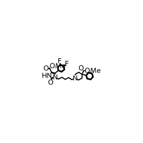 COC(=O)c1[nH]c(=O)n(CCCCCN2CCC(C(=O)OC)(c3ccccc3)CC2)c1-c1ccc(F)c(F)c1